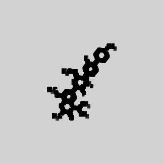 C=C(F)/C(=N\C(=N/C)Nc1ccc(C2CCN(C)CC2)c(F)c1)c1cc(OC)c2c(c1)N(C(C)C)C(=O)C(C)O2